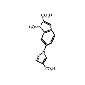 O=C(O)c1cn(-c2ccc3cc(C(=O)O)n(O)c3c2)nn1